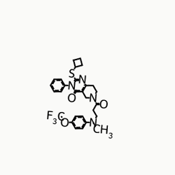 CN(CCC(=O)N1CCc2nc(SC3CCC3)n(-c3ccccc3)c(=O)c2C1)c1ccc(OC(F)(F)F)cc1